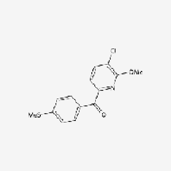 COc1nc(C(=O)c2ccc(SC)cc2)ccc1Cl